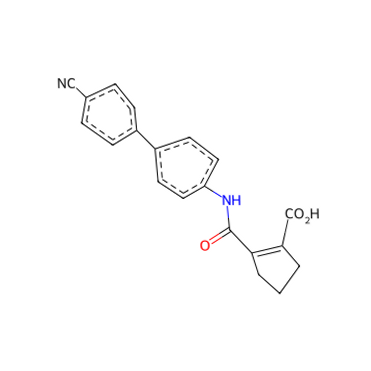 N#Cc1ccc(-c2ccc(NC(=O)C3=C(C(=O)O)CCC3)cc2)cc1